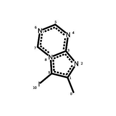 Cc1nc2ncncn2c1I